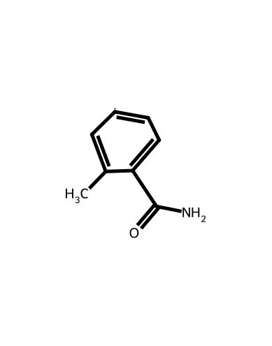 Cc1c[c]ccc1C(N)=O